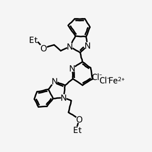 CCOCCn1c(-c2cccc(-c3nc4ccccc4n3CCOCC)n2)nc2ccccc21.[Cl-].[Cl-].[Fe+2]